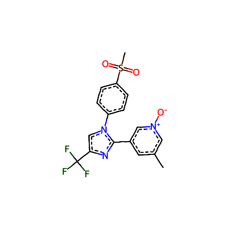 Cc1cc(-c2nc(C(F)(F)F)cn2-c2ccc(S(C)(=O)=O)cc2)c[n+]([O-])c1